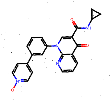 O=C(NC1CC1)c1cn(-c2cccc(-c3cc[n+]([O-])cc3)c2)c2ncccc2c1=O